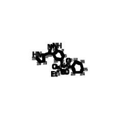 CCS(=O)(=O)N(c1ccc2[nH]nc(-c3ccc[nH]3)c2c1)S(=O)(=O)c1ccccc1